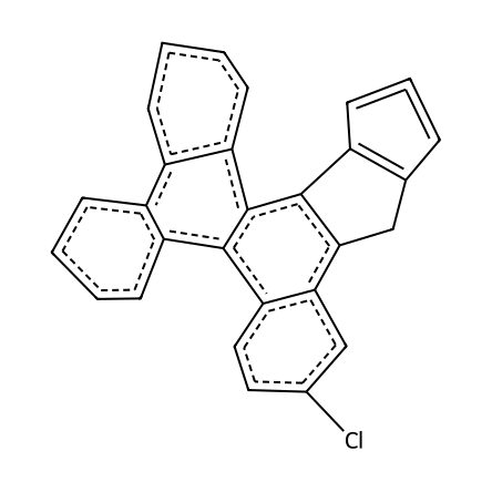 Clc1ccc2c(c1)c1c(c3c4ccccc4c4ccccc4c23)C2=C(C=C=C2)C1